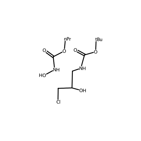 CC(C)(C)OC(=O)NCC(O)CCl.CCCOC(=O)NO